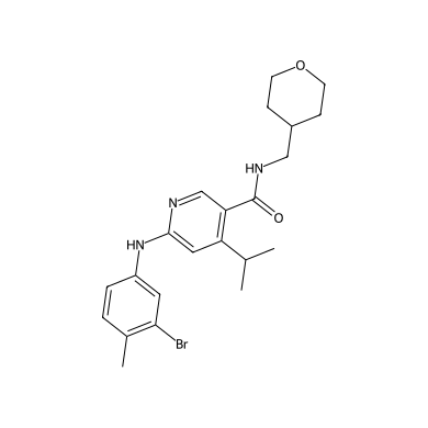 Cc1ccc(Nc2cc(C(C)C)c(C(=O)NCC3CCOCC3)cn2)cc1Br